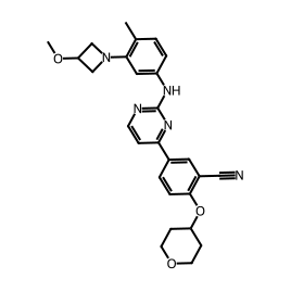 COC1CN(c2cc(Nc3nccc(-c4ccc(OC5CCOCC5)c(C#N)c4)n3)ccc2C)C1